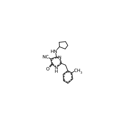 Cc1ccccc1Cc1nc(NC2CCCC2)c(C#N)c(=O)[nH]1